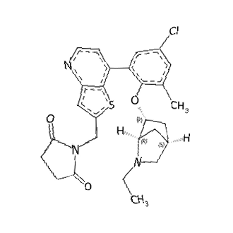 CCN1C[C@H]2C[C@@H]1[C@H](Oc1c(C)cc(Cl)cc1-c1ccnc3cc(CN4C(=O)CCC4=O)sc13)C2